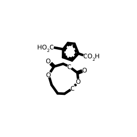 O=C(O)c1ccc(C(=O)O)cc1.O=C1CCC(=O)OCCCCO1